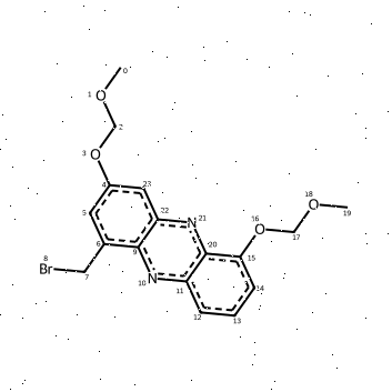 COCOc1cc(CBr)c2nc3cccc(OCOC)c3nc2c1